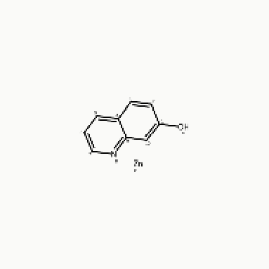 Oc1ccc2cccnc2c1.[Zn]